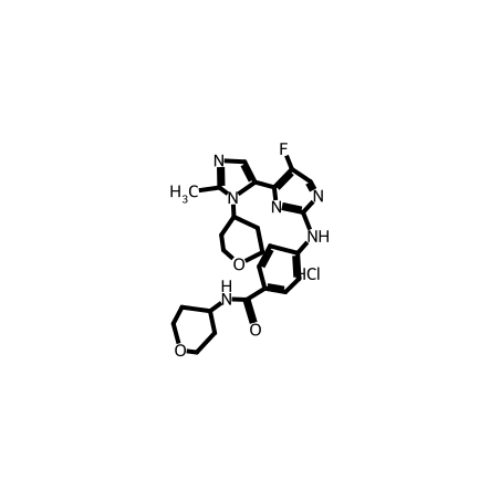 Cc1ncc(-c2nc(Nc3ccc(C(=O)NC4CCOCC4)cc3)ncc2F)n1C1CCOCC1.Cl